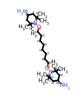 CC1(C)CC(N)CC(C)(C)N1OCCCCCCCCON1C(C)(C)CC(N)CC1(C)C